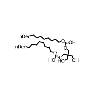 CCCCCCCCCCCCCCCCCCOP(O)OCC(CO)(CO)COP(O)OCCCCCCCCCCCCCCCCCC